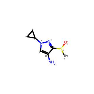 CC(C)[S+]([O-])c1nn(C2CC2)cc1N